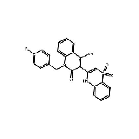 O=c1c(C2=CS(=O)(=O)c3ccccc3N2)c(O)c2ccccc2n1Cc1ccc(F)cc1